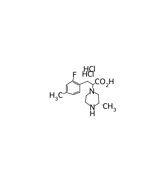 Cc1ccc(CC(C(=O)O)N2CCN[C@@H](C)C2)c(F)c1.Cl.Cl